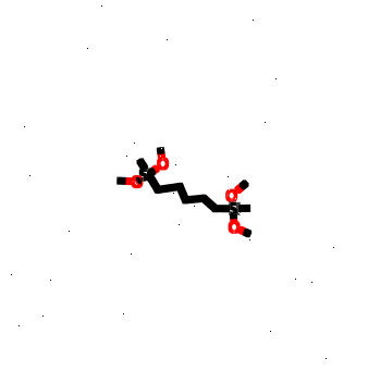 CO[Si](C)(CCCCC[Si](C)(OC)OC)OC